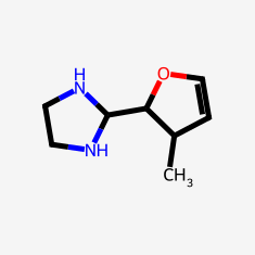 CC1C=COC1C1NCCN1